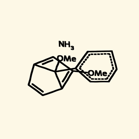 COC1=C2C=CC(=C1)C2(OC)c1ccccc1.N